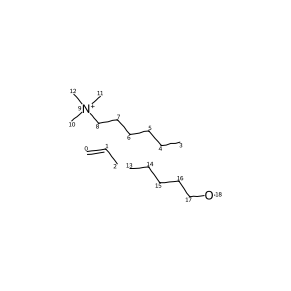 C=CC.CCCCCC[N+](C)(C)C.CCCCC[O]